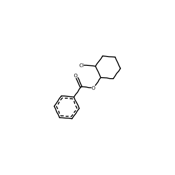 O=C(OC1CCCCC1Cl)c1ccccc1